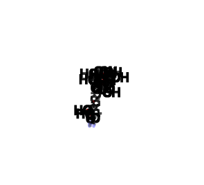 C/C=C(\C)C(=O)OC1C(OC(C)=O)C2(CO)C(O)CC3(C)C(=CCC4C5(C)CCC(OC6OC(C(=O)O)C(OC7OC(CO)C(O)C(O)C7O)C(O)C6OC6OC(CO)C(O)C(O)C6O)C(C)(CO)C5CCC43C)C2CC1(C)C